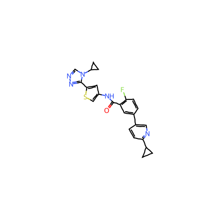 O=C(Nc1csc(-c2nncn2C2CC2)c1)c1cc(-c2ccc(C3CC3)nc2)ccc1F